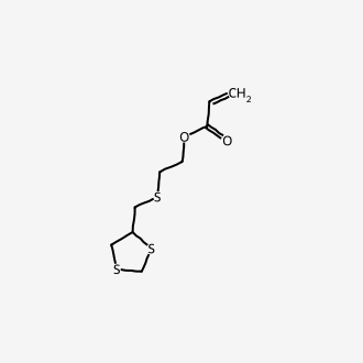 C=CC(=O)OCCSCC1CSCS1